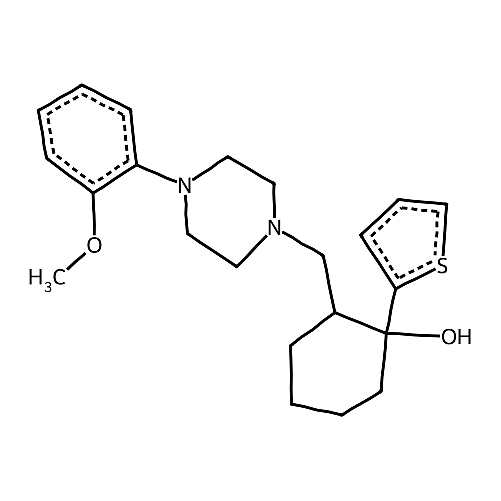 COc1ccccc1N1CCN(CC2CCCCC2(O)c2cccs2)CC1